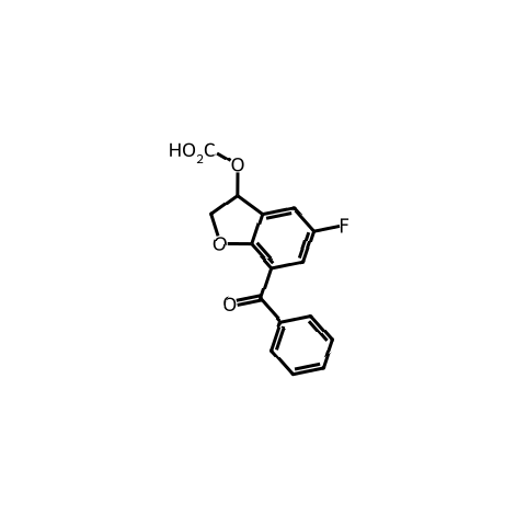 O=C(O)OC1COc2c(C(=O)c3ccccc3)cc(F)cc21